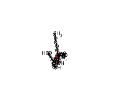 COCCOCCOCCOCCOCCN1/C(=C/C=C/C2=[N+](CCCCCC(=O)O)c3ccc(S(=O)(=O)O)cc3C2(C)CCOC)C(C)(CCCS(=O)(=O)O)c2cc(S(=O)(=O)[O-])ccc21